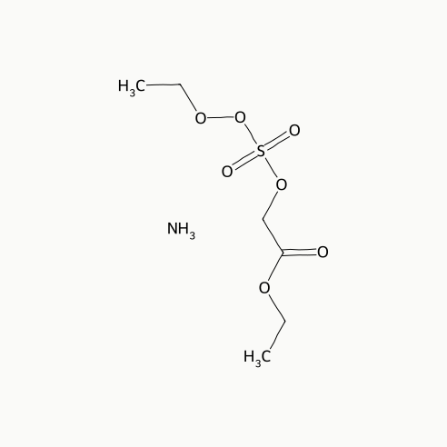 CCOOS(=O)(=O)OCC(=O)OCC.N